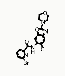 O=C(Nc1cc2oc(N3CCOCC3)nc2cc1Cl)c1cccc(Br)n1